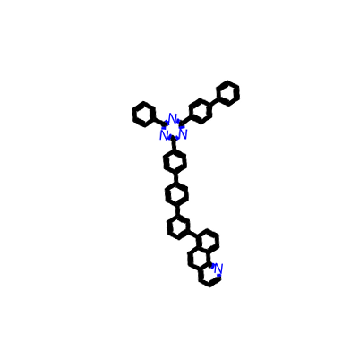 c1ccc(-c2ccc(-c3nc(-c4ccccc4)nc(-c4ccc(-c5ccc(-c6cccc(-c7cccc8c7ccc7cccnc78)c6)cc5)cc4)n3)cc2)cc1